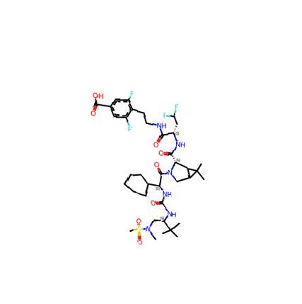 CN(C[C@@H](NC(=O)N[C@H](C(=O)N1CC2C([C@H]1C(=O)N[C@@H](CC(F)F)C(=O)NCCc1c(F)cc(C(=O)O)cc1F)C2(C)C)C1CCCCC1)C(C)(C)C)S(C)(=O)=O